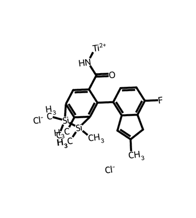 CC1=Cc2c(-c3c(C(=O)[NH][Ti+2])cc4c(C)c3[Si](C)(C)[Si]4(C)C)ccc(F)c2C1.[Cl-].[Cl-]